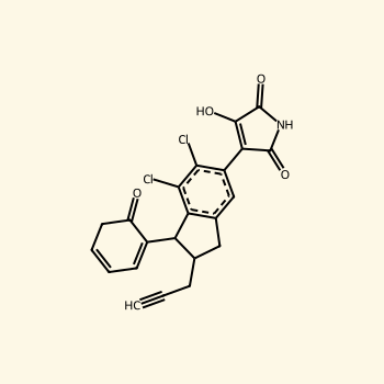 C#CCC1Cc2cc(C3=C(O)C(=O)NC3=O)c(Cl)c(Cl)c2C1C1=CC=CCC1=O